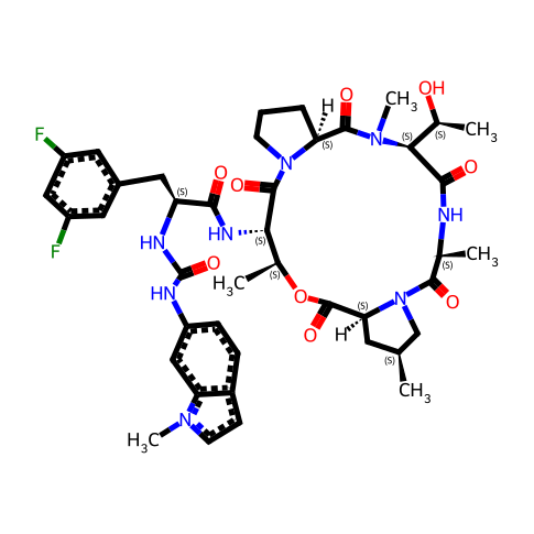 C[C@H]1C[C@H]2C(=O)O[C@@H](C)[C@H](NC(=O)[C@H](Cc3cc(F)cc(F)c3)NC(=O)Nc3ccc4ccn(C)c4c3)C(=O)N3CCC[C@H]3C(=O)N(C)[C@@H]([C@H](C)O)C(=O)N[C@@H](C)C(=O)N2C1